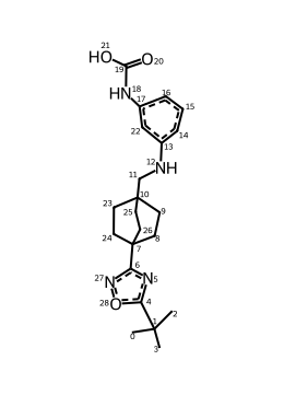 CC(C)(C)c1nc(C23CCC(CNc4cccc(NC(=O)O)c4)(CC2)CC3)no1